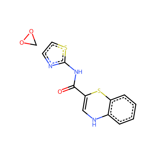 C1OO1.O=C(Nc1nccs1)C1=CNc2ccccc2S1